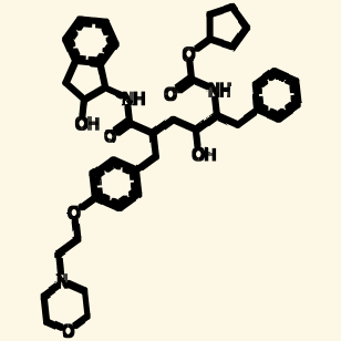 O=C(NC(Cc1ccccc1)C(O)CC(Cc1ccc(OCCN2CCOCC2)cc1)C(=O)NC1c2ccccc2CC1O)OC1CCCC1